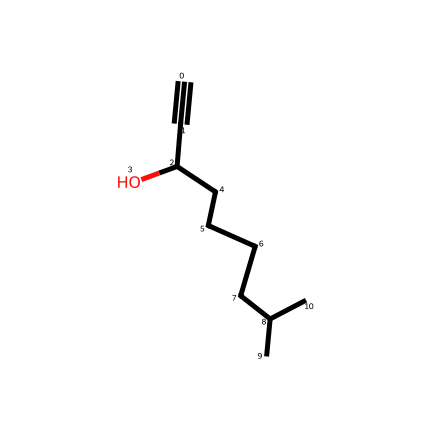 C#CC(O)CCCCC(C)C